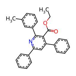 CCOC(=O)c1c(-c2ccccc2)cc(-c2ccccc2)nc1-c1cccc(C)c1